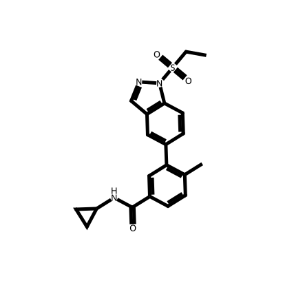 CCS(=O)(=O)n1ncc2cc(-c3cc(C(=O)NC4CC4)ccc3C)ccc21